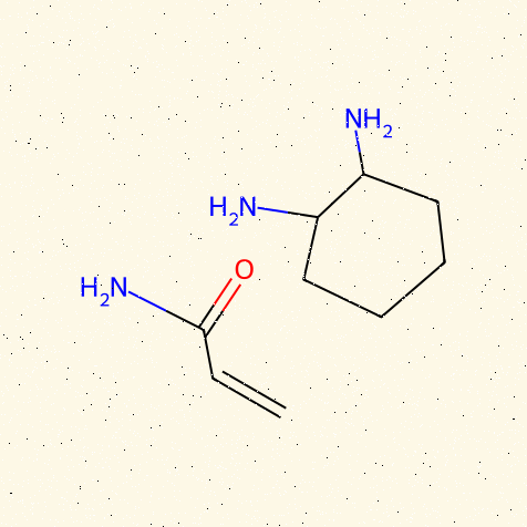 C=CC(N)=O.NC1CCCCC1N